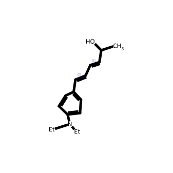 CCN(CC)c1ccc(/C=C/C=C/C(C)O)cc1